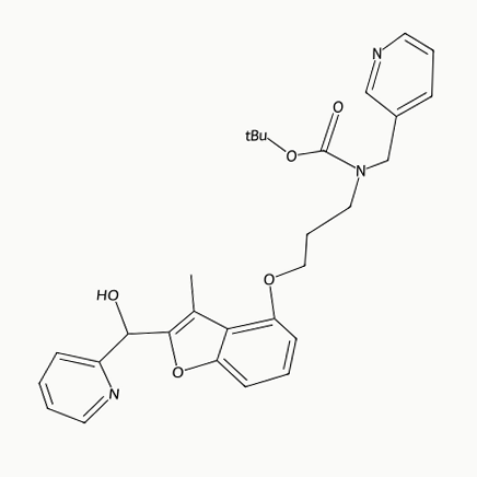 Cc1c(C(O)c2ccccn2)oc2cccc(OCCCN(Cc3cccnc3)C(=O)OC(C)(C)C)c12